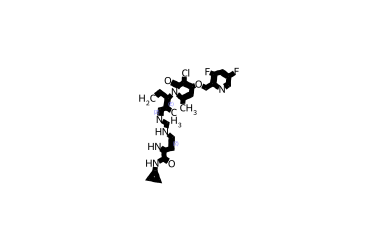 C=C/C(=C(C)\C=N/CN/C=C\C(=N)C(=O)NC1CC1)n1c(C)cc(OCc2ncc(F)cc2F)c(Cl)c1=O